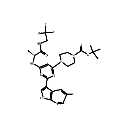 C[C@H](Nc1cc(N2CCN(C(=O)OC(C)(C)C)CC2)nc(-c2c[nH]c3ncc(Cl)cc23)n1)C(=O)NCC(F)(F)F